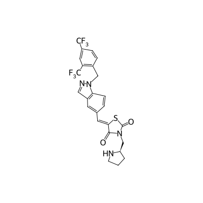 O=C1S/C(=C\c2ccc3c(cnn3Cc3ccc(C(F)(F)F)cc3C(F)(F)F)c2)C(=O)N1C[C@H]1CCCN1